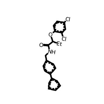 CCC(Oc1ccc(Cl)cc1Cl)C(=O)NCc1ccc(-c2ccccc2)cc1